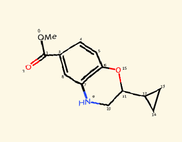 COC(=O)c1ccc2c(c1)NCC(C1CC1)O2